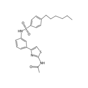 CCCCCCc1ccc(S(=O)(=O)Nc2cccc(-c3csc(NC(C)=O)n3)c2)cc1